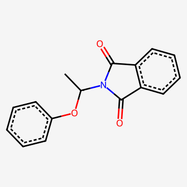 C[C](Oc1ccccc1)N1C(=O)c2ccccc2C1=O